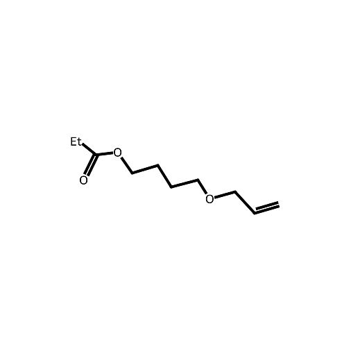 C=CCOCCCCOC(=O)CC